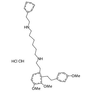 COc1ccc(CCc2c(CCNCCCCCCNCCc3ccccc3)ccc(OC)c2OC)cc1.Cl.Cl